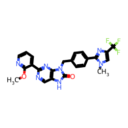 COc1ncccc1-c1ncc2[nH]c(=O)n(Cc3ccc(-c4nc(C(F)(F)F)cn4C)cc3)c2n1